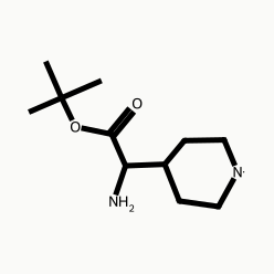 CC(C)(C)OC(=O)C(N)C1CC[N]CC1